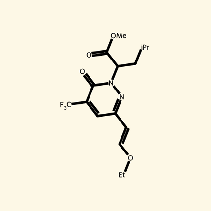 CCOC=Cc1cc(C(F)(F)F)c(=O)n(C(CC(C)C)C(=O)OC)n1